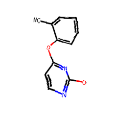 N#Cc1ccccc1Oc1ccnc([O])n1